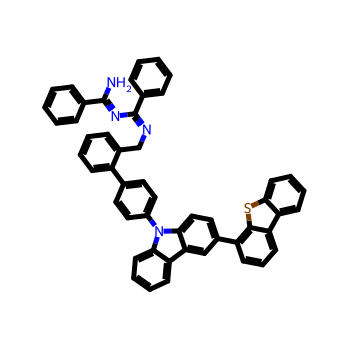 N/C(=N\C(=N/Cc1ccccc1-c1ccc(-n2c3ccccc3c3cc(-c4cccc5c4sc4ccccc45)ccc32)cc1)c1ccccc1)c1ccccc1